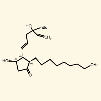 C=CC(O)(CC=C[C@H]1[C@H](O)CC(=O)[C@@H]1CCCCCCCCOC(C)=O)CCCC